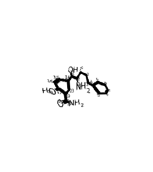 C[C@H](CCc1ccccc1)[C@@H](N)C(O)c1ccc(O)c(C(N)=O)c1